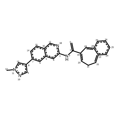 C=C(Nc1cc2cc(-c3cnn(C)c3)ccc2cn1)C1=CCC=c2ccccc2=C1